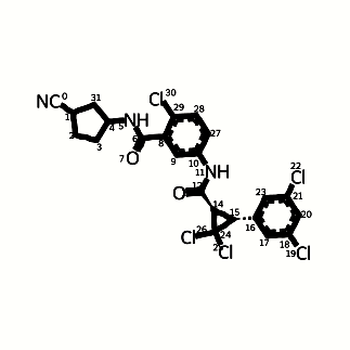 N#CC1CCC(NC(=O)c2cc(NC(=O)[C@H]3[C@H](c4cc(Cl)cc(Cl)c4)C3(Cl)Cl)ccc2Cl)C1